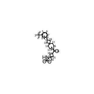 CC(C)(C)c1cccc(C2CC3(CCN(C(=O)C4CC5(COC(=O)N5)C4)CC3)C2)n1